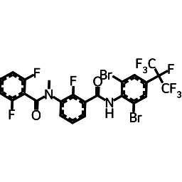 CN(C(=O)c1c(F)cccc1F)c1cccc(C(=O)Nc2c(Br)cc(C(F)(C(F)(F)F)C(F)(F)F)cc2Br)c1F